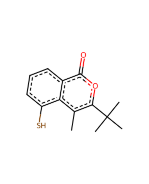 Cc1c(C(C)(C)C)oc(=O)c2cccc(S)c12